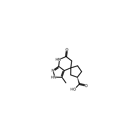 Cc1[nH]nc2c1C1(CC[C@@H](C(=O)O)C1)CC(=O)N2